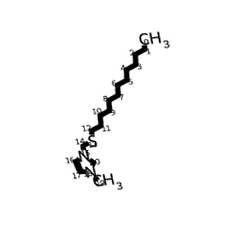 CCCCCCCCCCCCCSCN1C=CN(C)C1